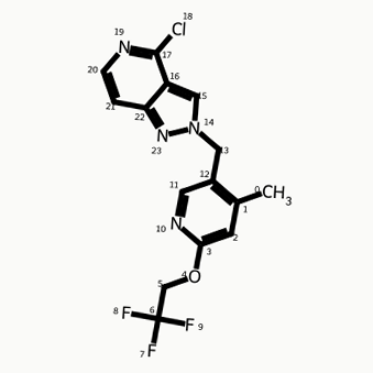 Cc1cc(OCC(F)(F)F)ncc1Cn1cc2c(Cl)nccc2n1